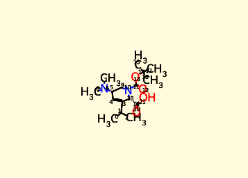 CC(C)C1=C[C@@H](N(C)C)CN(C(=O)OC(C)(C)C)[C@@H]1C(=O)O